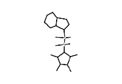 CC1C(C)C(C)C(S(C)(C)S(C)(C)C2CCC3CCCCC32)C1C